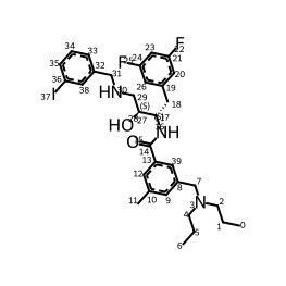 CCCN(CCC)Cc1cc(C)cc(C(=O)N[C@@H](Cc2cc(F)cc(F)c2)[C@@H](O)CNCc2cccc(I)c2)c1